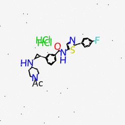 CC(=O)N1CCC(N[C@@H]2C[C@H]2c2cccc(C(=O)Nc3cnc(-c4ccc(F)cc4)s3)c2)CC1.Cl.Cl